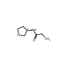 CCC(=O)N[C@@H]1CCOC1